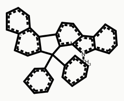 Cn1c2ccccc2c2ccc3c(c21)C(c1ccccc1)(c1ccccc1)c1ccc2ccccc2c1-3